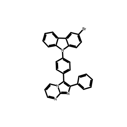 Brc1ccc2c(c1)c1ccccc1n2-c1ccc(-c2c(-c3ccccc3)nc3ncccn23)cc1